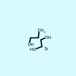 CCCO.OCCO.[Zr]